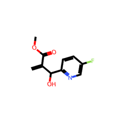 C=C(C(=O)OC)C(O)c1ccc(F)cn1